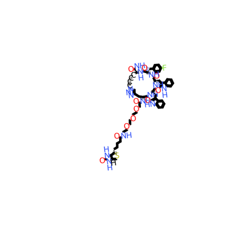 NC(=O)[C@@H]1CCCCn2cc(nn2)C[C@H](NC(=O)COCCOCCOCCNC(=O)CCCC[C@@H]2SC[C@@H]3NC(=O)NC32)C(=O)N[C@H](Cc2c[nH]c3ccccc23)C(=O)N[C@H](Cc2c[nH]c3ccccc23)C(=O)N[C@@H](Cc2ccc(F)cc2)C(=O)N1